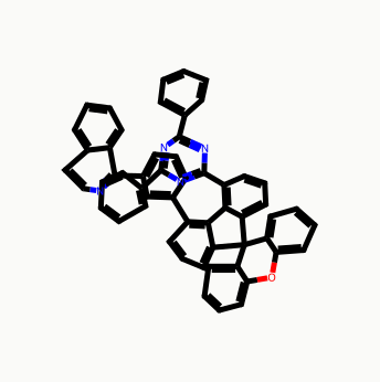 c1ccc(-c2nc(-c3ccccc3)nc(-c3cccc4c3-c3c(-c5cccc(-c6nccc7ccccc67)c5)cccc3C43c4ccccc4Oc4ccccc43)n2)cc1